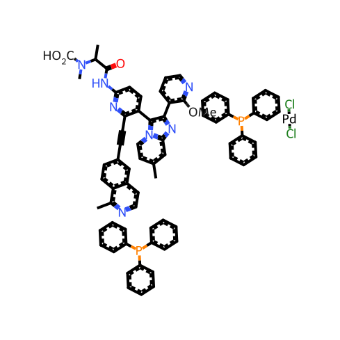 COc1ncccc1-c1nc2cc(C)ccn2c1-c1ccc(NC(=O)C(C)N(C)C(=O)O)nc1C#Cc1ccc2c(C)nccc2c1.[Cl][Pd][Cl].c1ccc(P(c2ccccc2)c2ccccc2)cc1.c1ccc(P(c2ccccc2)c2ccccc2)cc1